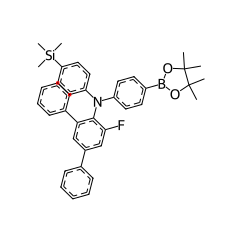 CC1(C)OB(c2ccc(N(c3ccc([Si](C)(C)C)cc3)c3c(F)cc(-c4ccccc4)cc3-c3ccccc3)cc2)OC1(C)C